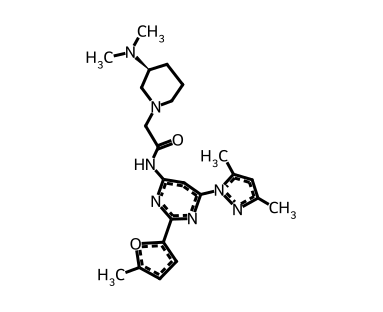 Cc1cc(C)n(-c2cc(NC(=O)CN3CCC[C@H](N(C)C)C3)nc(-c3ccc(C)o3)n2)n1